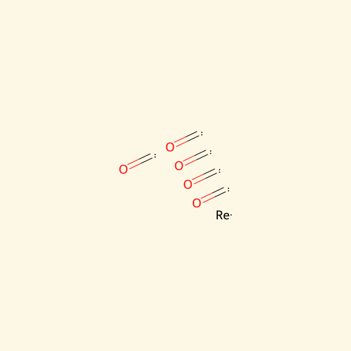 [C]=O.[C]=O.[C]=O.[C]=O.[C]=O.[Re]